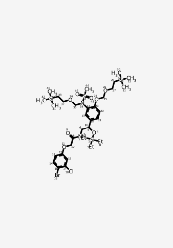 CC[Si](CC)(CC)O[C@@H](CNC(=O)COc1ccc(Br)c(Cl)c1)c1ccc(OCOCC[Si](C)(C)C)c(N(COCC[Si](C)(C)C)S(C)(=O)=O)c1